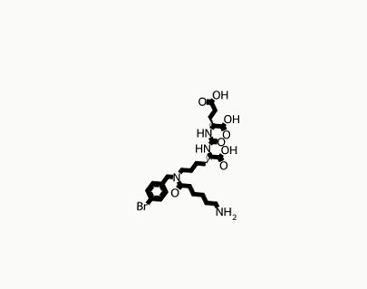 NCCCCCC(=O)N(CCCC[C@H](NC(=O)N[C@@H](CCC(=O)O)C(=O)O)C(=O)O)Cc1ccc(Br)cc1